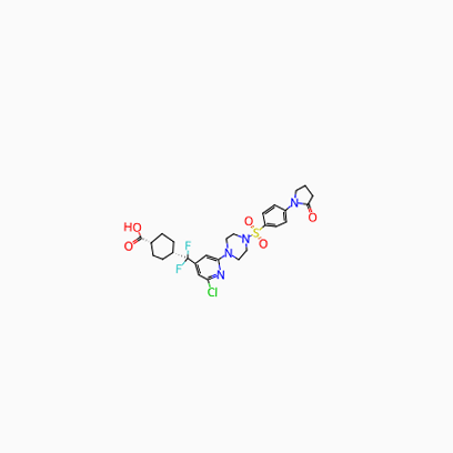 O=C1CCCN1c1ccc(S(=O)(=O)N2CCN(c3cc(C(F)(F)[C@H]4CC[C@@H](C(=O)O)CC4)cc(Cl)n3)CC2)cc1